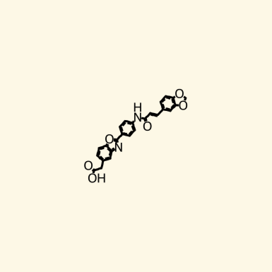 O=C(O)Cc1ccc2oc(-c3ccc(NC(=O)C=Cc4ccc5c(c4)OCO5)cc3)nc2c1